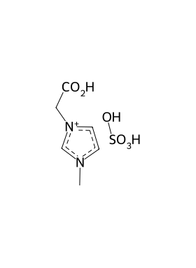 Cn1cc[n+](CC(=O)O)c1.O=S(=O)(O)O